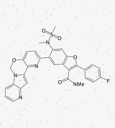 CNC(=O)c1c(-c2ccc(F)cc2)oc2cc(N(C)S(C)(=O)=O)c(-c3ccc4c(n3)-c3cc5ncccc5n3CO4)cc12